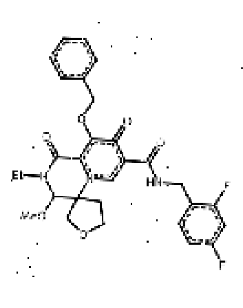 CCN1C(=O)c2c(OCc3ccccc3)c(=O)c(C(=O)NCc3ccc(F)cc3F)cn2C2(CCOC2)C1OC